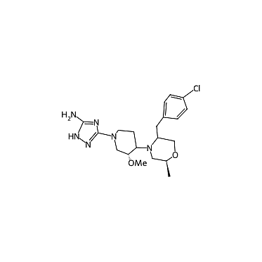 CO[C@@H]1CN(c2n[nH]c(N)n2)CCC1N1C[C@H](C)OCC1Cc1ccc(Cl)cc1